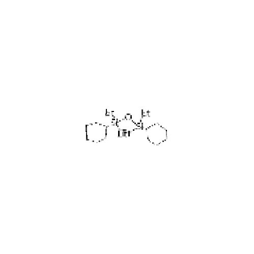 CC[Si](CC)(O[Si](CC)(CC)C1CCCCC1)C1CCCCC1